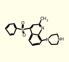 Cc1cc(S(=O)(=O)c2ccccc2)c2cccc(N3CCNCC3)c2n1